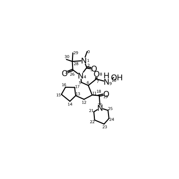 CN1C(=O)N(CC(C(=O)NO)C(CC2CCCC2)C(=O)N2CCCCC2)C(=O)C1(C)C